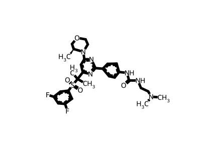 C[C@H]1COCCN1c1cc(C(C)(C)S(=O)(=O)c2cc(F)cc(F)c2)nc(-c2ccc(NC(=O)NCCN(C)C)cc2)n1